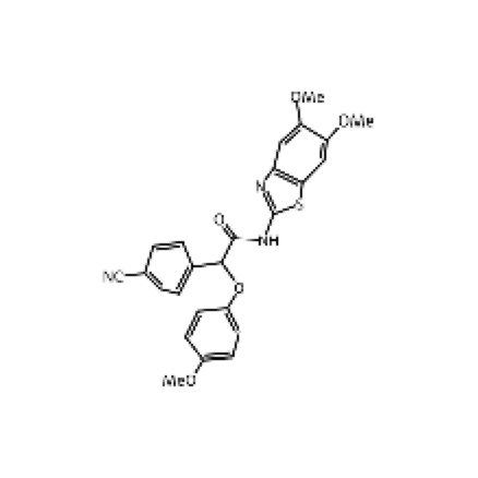 COc1ccc(OC(C(=O)Nc2nc3cc(OC)c(OC)cc3s2)c2ccc(C#N)cc2)cc1